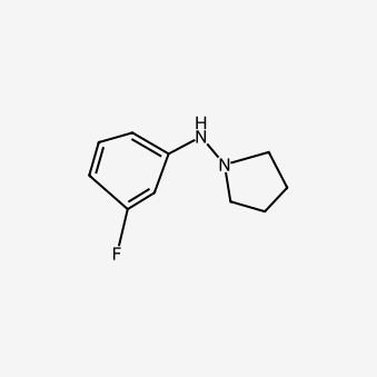 Fc1cccc(NN2CCCC2)c1